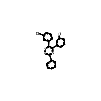 Clc1cccc(-c2nnc(-c3ccccc3)nc2-c2cccc(Cl)c2)c1